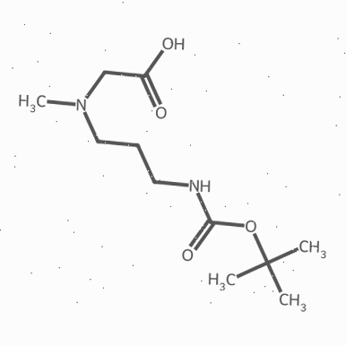 CN(CCCNC(=O)OC(C)(C)C)CC(=O)O